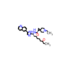 CCC(=O)CCCCC[C@H](NC(=O)[C@H]1CC12CCN(CC)CC2)c1ncc(-c2ccc3ncccc3c2)[nH]1